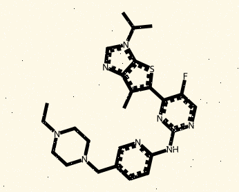 CCN1CCN(Cc2ccc(Nc3ncc(F)c(-c4sc5c(ncn5C(C)C)c4C)n3)nc2)CC1